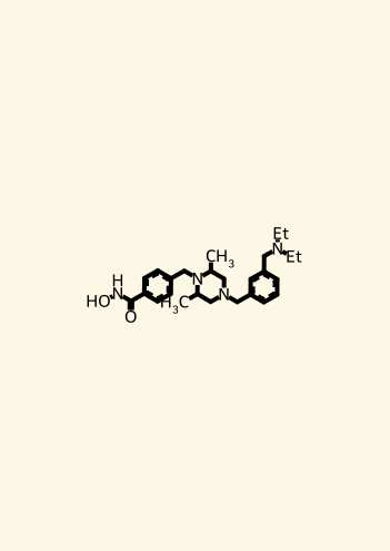 CCN(CC)Cc1cccc(CN2CC(C)N(Cc3ccc(C(=O)NO)cc3)C(C)C2)c1